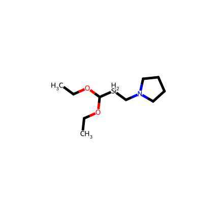 CCOC(OCC)[SiH2]CN1CCCC1